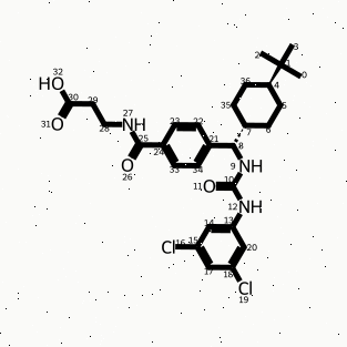 CC(C)(C)[C@H]1CC[C@H](C(NC(=O)Nc2cc(Cl)cc(Cl)c2)c2ccc(C(=O)NCCC(=O)O)cc2)CC1